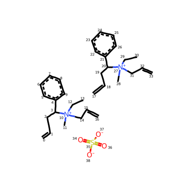 C=CCC(c1ccccc1)[N+](C)(CC)CC=C.C=CCC(c1ccccc1)[N+](C)(CC)CC=C.O=S(=O)([O-])[O-]